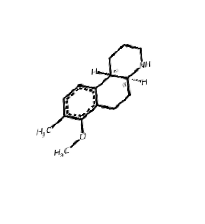 COc1c(C)ccc2c1CC[C@@H]1NCCC[C@@H]21